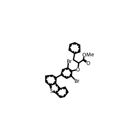 COC(=O)C(Cc1ccccc1)Oc1c(Br)cc(-c2cccc3sc4ccccc4c23)cc1Br